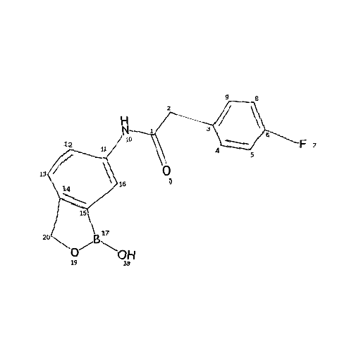 O=C(Cc1ccc(F)cc1)Nc1ccc2c(c1)B(O)OC2